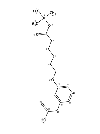 CC(C)(C)OC(=O)CCCCCOc1cccc(CC(=O)O)c1